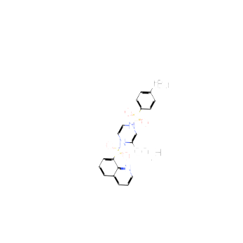 CC(C)(C)c1ccc(S(=O)(=O)N2C=CN(S(=O)(=O)c3cccc4cccnc34)C(C(=O)O)=C2)cc1